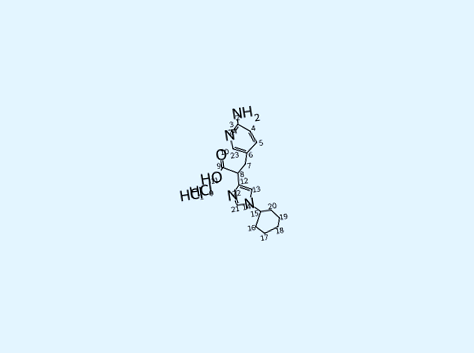 Cl.Cl.Nc1ccc(CC(C(=O)O)c2cn(C3CCCCC3)cn2)cn1